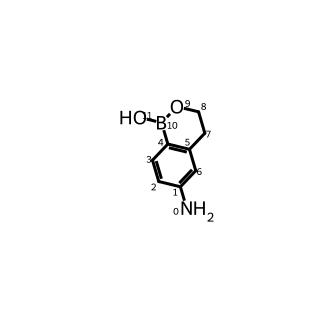 Nc1ccc2c(c1)CCOB2O